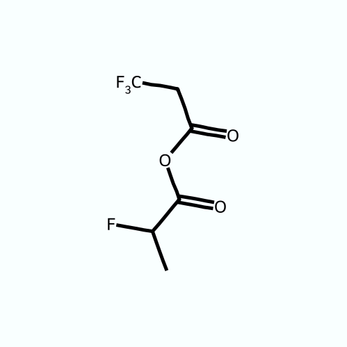 CC(F)C(=O)OC(=O)CC(F)(F)F